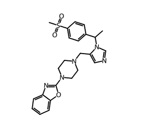 CC(c1ccc(S(C)(=O)=O)cc1)n1cncc1CN1CCN(c2nc3ccccc3o2)CC1